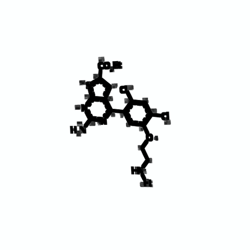 CCNCCOc1cc(-c2nc(N)nc3sc(C(=O)OCC)cc23)c(Cl)cc1Cl